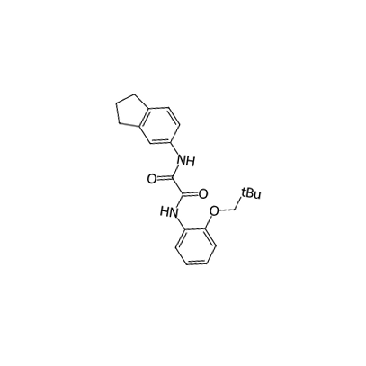 CC(C)(C)COc1ccccc1NC(=O)C(=O)Nc1ccc2c(c1)CCC2